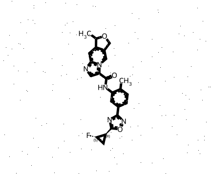 Cc1ccc(-c2noc([C@H]3C[C@@H]3F)n2)cc1NC(=O)c1cnc2cc3c(cn12)COC3C